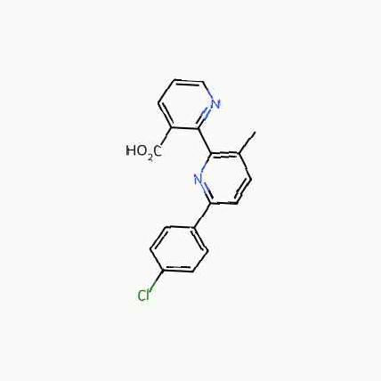 Cc1ccc(-c2ccc(Cl)cc2)nc1-c1ncccc1C(=O)O